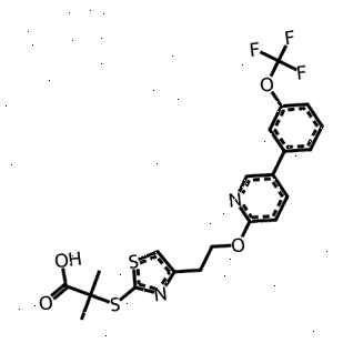 CC(C)(Sc1nc(CCOc2ccc(-c3cccc(OC(F)(F)F)c3)cn2)cs1)C(=O)O